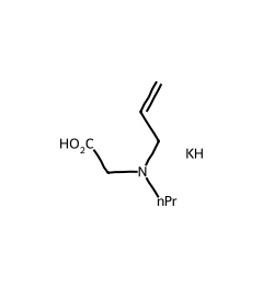 C=CCN(CCC)CC(=O)O.[KH]